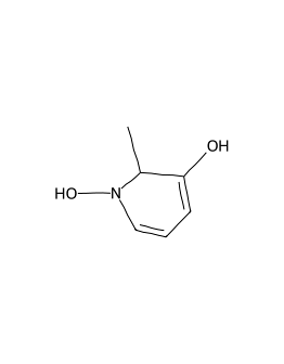 CC1C(O)=CC=CN1O